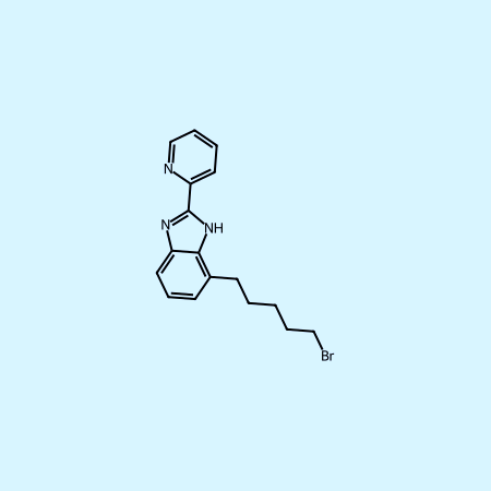 BrCCCCCc1cccc2nc(-c3ccccn3)[nH]c12